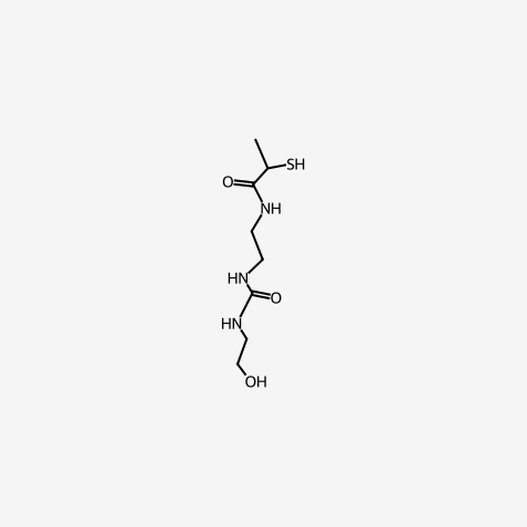 CC(S)C(=O)NCCNC(=O)NCCO